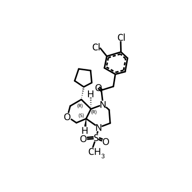 CS(=O)(=O)N1CCN(C(=O)Cc2ccc(Cl)c(Cl)c2)[C@@H]2[C@@H](C3CCCC3)COC[C@H]21